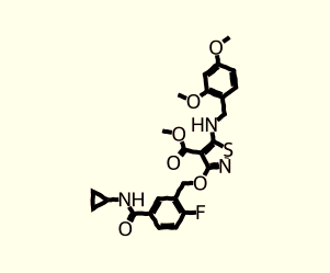 COC(=O)c1c(OCc2cc(C(=O)NC3CC3)ccc2F)nsc1NCc1ccc(OC)cc1OC